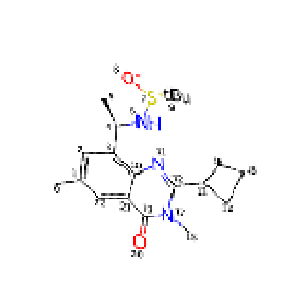 Cc1cc([C@@H](C)N[S+]([O-])C(C)(C)C)c2nc(C3CCC3)n(C)c(=O)c2c1